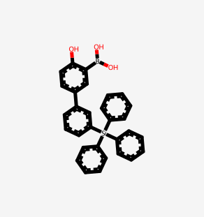 OB(O)c1cc(-c2cccc([Si](c3ccccc3)(c3ccccc3)c3ccccc3)c2)ccc1O